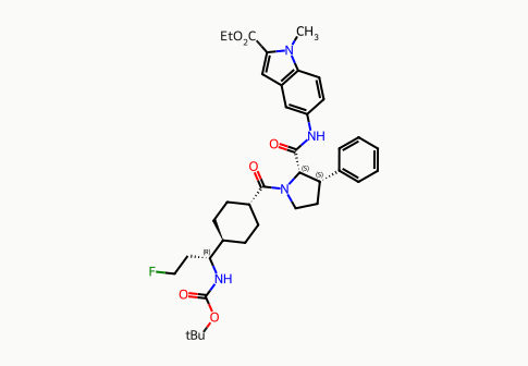 CCOC(=O)c1cc2cc(NC(=O)[C@@H]3[C@H](c4ccccc4)CCN3C(=O)[C@H]3CC[C@H]([C@@H](CCF)NC(=O)OC(C)(C)C)CC3)ccc2n1C